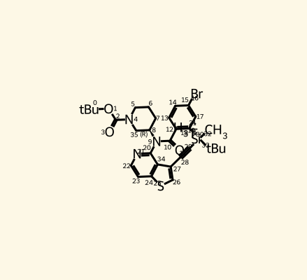 CC(C)(C)OC(=O)N1CCC[C@@H](N(C(=O)c2ccc(Br)cc2F)c2nccc3scc(C#C[Si](C)(C)C(C)(C)C)c23)C1